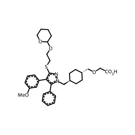 COc1cccc(-c2c(SCCOC3CCCCO3)nn(C[C@H]3CC[C@H](COCC(=O)O)CC3)c2-c2ccccc2)c1